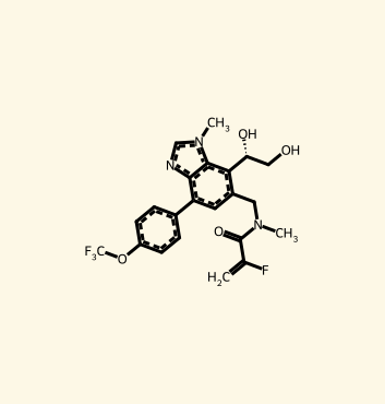 C=C(F)C(=O)N(C)Cc1cc(-c2ccc(OC(F)(F)F)cc2)c2ncn(C)c2c1[C@H](O)CO